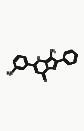 Cc1cccc(-c2cc(=O)n3nc(-c4ccccc4)c(C)c3[nH]2)c1